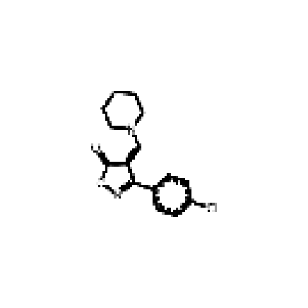 O=C1ON=C(c2ccc(Cl)cc2)/C1=C/N1CCCCC1